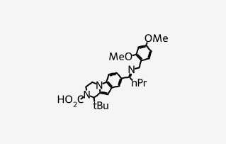 CCCC(=NCc1ccc(OC)cc1OC)c1ccc2c(c1)cc1n2CCN(C(=O)O)C1C(C)(C)C